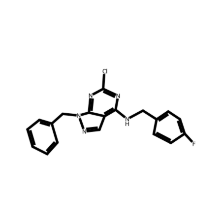 Fc1ccc(CNc2nc(Cl)nc3c2cnn3Cc2ccccc2)cc1